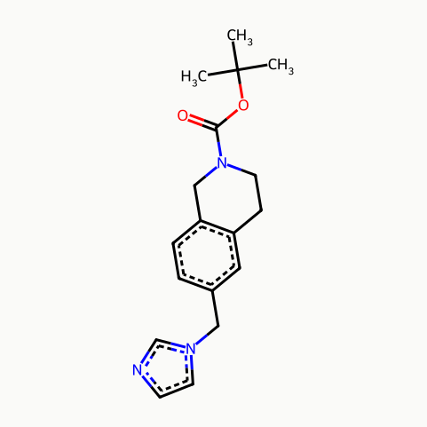 CC(C)(C)OC(=O)N1CCc2cc(Cn3ccnc3)ccc2C1